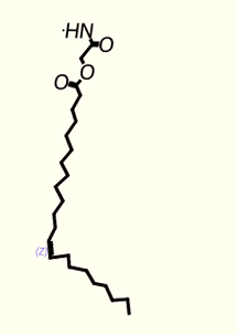 CCCCCCCC/C=C\CCCCCCCCCCCC(=O)OCC([NH])=O